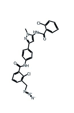 Cn1nc(-c2ccc(NC(=O)c3cccc(CN=[N+]=[N-])c3Cl)cc2)cc1NC(=O)c1ccccc1Cl